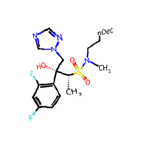 CCCCCCCCCCCCN(C)S(=O)(=O)[C@H](C)[C@](O)(Cn1cncn1)c1ccc(F)cc1F